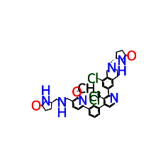 COc1nc(-c2cccc(-c3ccnc(-c4cc(Cl)c5c(c4)CCN(C[C@@H]4CCC(=O)N4)C5)c3Cl)c2Cl)ccc1CNC[C@H]1CCC(=O)N1